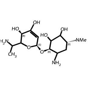 CN[C@@H]1CC(N)[C@@H](O[C@@H]2C=C(O)[C@H](O)C(C(C)N)O2)C(O)C1O